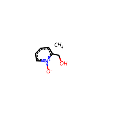 C.[O-][n+]1ccccc1CO